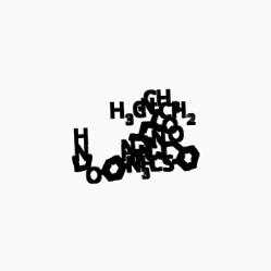 C=C(c1cc2cnc(Nc3ccc(OC4CCNC4)cc3)nc2n(C2C(=O)c3ccccc3SC2(C)C)c1=O)N(C)C